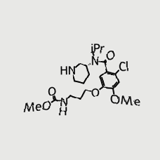 COC(=O)NCCCOc1cc(C(=O)N(C(C)C)[C@@H]2CCCNC2)c(Cl)cc1OC